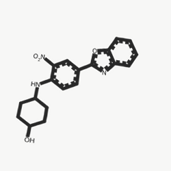 O=[N+]([O-])c1cc(-c2nc3ccccc3o2)ccc1NC1CCC(O)CC1